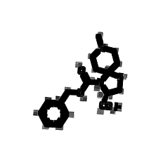 CN1CCC2(CC1)SC[C@@H](C(=O)O)N2C(=O)OCc1ccccc1